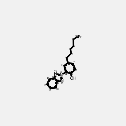 CC(C)CCCCCc1ccc(O)c(-n2nc3ccccc3n2)c1